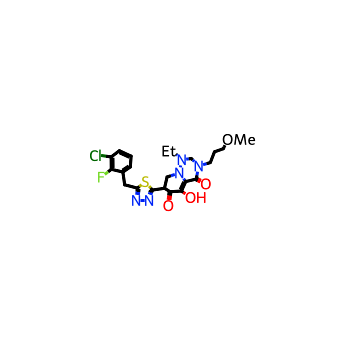 CCN1CN(CCCOC)C(=O)C2=C(O)C(=O)C(c3nnc(Cc4cccc(Cl)c4F)s3)CN21